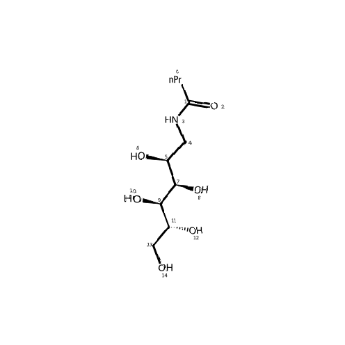 CCCC(=O)NC[C@H](O)[C@@H](O)[C@H](O)[C@H](O)CO